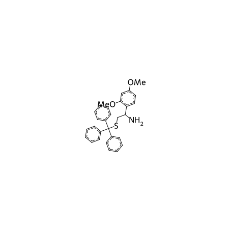 COc1ccc(C(N)CSC(c2ccccc2)(c2ccccc2)c2ccccc2)c(OC)c1